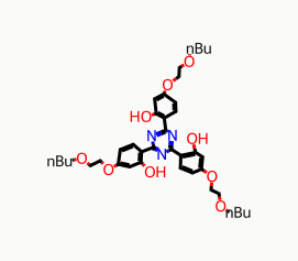 CCCCOCCOc1ccc(-c2nc(-c3ccc(OCCOCCCC)cc3O)nc(-c3ccc(OCCOCCCC)cc3O)n2)c(O)c1